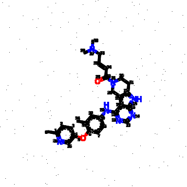 Cc1ccc(Oc2ccc(Nc3ncnc4[nH]c5c(c34)CN(C(=O)/C=C/CN(C)C)CC5)cc2C)cn1